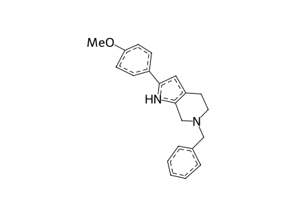 COc1ccc(-c2cc3c([nH]2)CN(Cc2ccccc2)CC3)cc1